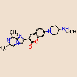 CCNC1CCN(c2ccc3cc(-c4cn5cc(C)nc(C)c5n4)c(=O)oc3c2)CC1